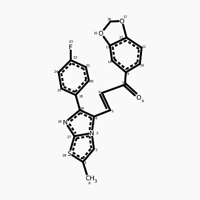 Cc1cn2c(C=CC(=O)c3ccc4c(c3)OCO4)c(-c3ccc(F)cc3)nc2s1